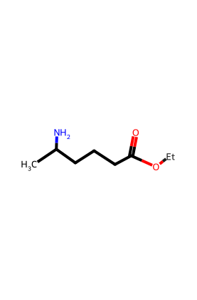 CCOC(=O)CCCC(C)N